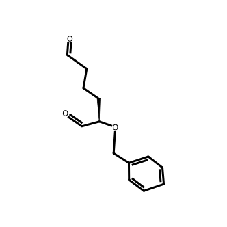 O=CCCC[C@H](C=O)OCc1ccccc1